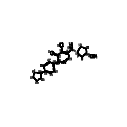 O=c1c(Cl)c(N[C@H]2CC[C@@H](O)CC2)cnn1-c1ccc(C2CCCC2)cc1